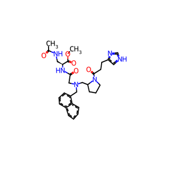 COC(=O)[C@H](CNC(C)=O)NC(=O)CN(Cc1cccc2ccccc12)CC1CCCN1C(=O)CCc1c[nH]cn1